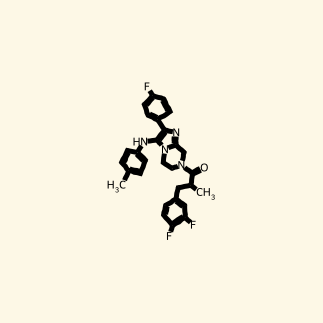 Cc1ccc(Nc2c(-c3ccc(F)cc3)nc3n2CCN(C(=O)C(C)Cc2ccc(F)c(F)c2)C3)cc1